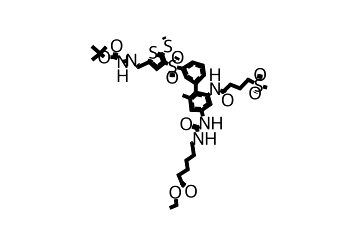 CCOC(=O)CCCCCNC(=O)Nc1cc(C)c(-c2cccc(S(=O)(=O)c3cc(C=NNC(=O)OC(C)(C)C)sc3SC)c2)c(NC(=O)CCCS(C)(=O)=O)c1